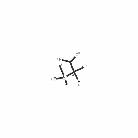 C[Si](C)(F)C(F)(F)C(F)F